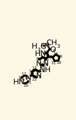 CN(C)C(=O)c1[nH]c2cnc(Nc3ccc(N4CCNCC4)cn3)nc2c1C1CCCC1